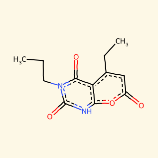 CCCn1c(=O)[nH]c2oc(=O)cc(CC)c2c1=O